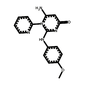 COc1ccc(Nc2nc(=O)cc(N)n2-c2ccccn2)cc1